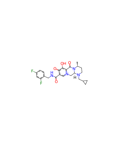 C[C@H]1CCN(CC2CC2)[C@H]2Cn3cc(C(=O)NCc4ccc(F)cc4F)c(=O)c(O)c3C(=O)N21